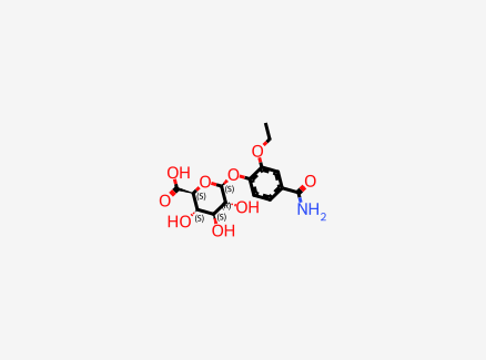 CCOc1cc(C(N)=O)ccc1O[C@@H]1O[C@H](C(=O)O)[C@@H](O)[C@H](O)[C@H]1O